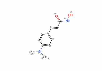 CN(C)c1ccc(C=CC(=O)NO)cc1